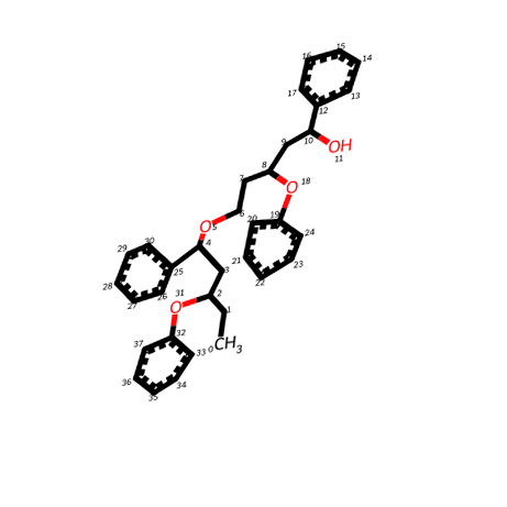 CCC(CC(OCCC(CC(O)c1ccccc1)Oc1ccccc1)c1ccccc1)Oc1ccccc1